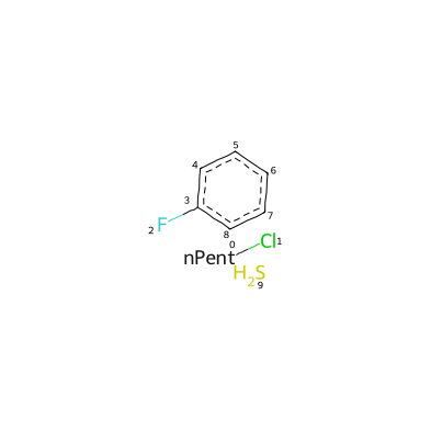 CCCCCCl.Fc1ccccc1.S